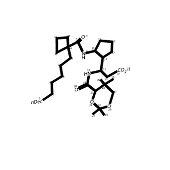 CCCCCCCCCCCCCCCC1(C(=O)NC2CCCC2C(CC(=O)O)NC(=O)C2OC(C)(C)OCC2(C)C)CCC1